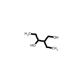 CCC(O)C(CC)CO